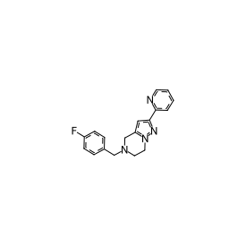 Fc1ccc(CN2CCn3nc(-c4ccccn4)cc3C2)cc1